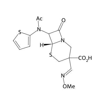 CON=CC1(C(=O)O)CS[C@@H]2C(N(C(C)=O)c3cccs3)C(=O)N2C1